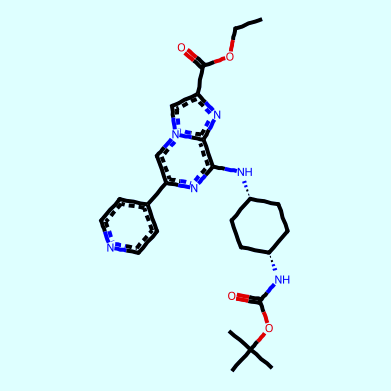 CCOC(=O)c1cn2cc(-c3ccncc3)nc(N[C@H]3CC[C@@H](NC(=O)OC(C)(C)C)CC3)c2n1